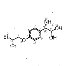 CCC(CC)COc1ccc([C@@H](N)C(O)O)cc1